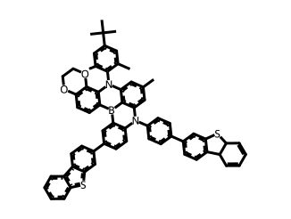 Cc1cc2c3c(c1)N(c1c(C)cc(C(C)(C)C)cc1C)c1c(ccc4c1OCCO4)B3c1cc(-c3ccc4c(c3)sc3ccccc34)ccc1N2c1ccc(-c2ccc3c(c2)SC2C=CC=CC32)cc1